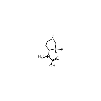 CN(C(=O)O)C1CCNCC1(F)F